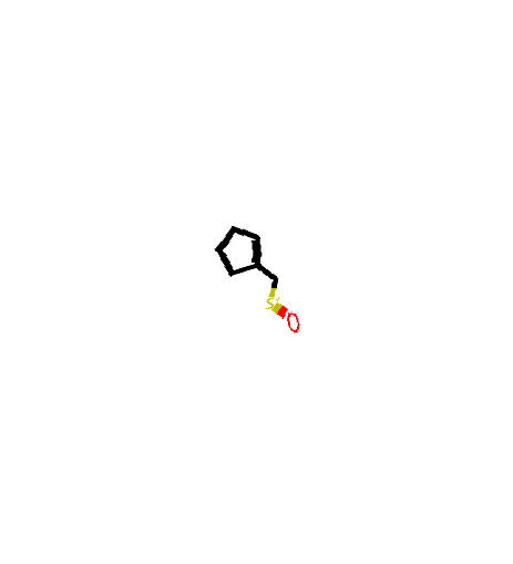 O=[S+]CC1=CCCC1